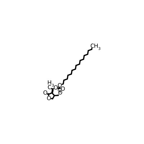 CCCCCCCCCCCCCCCCOP1(=O)OCC2COC(=O)C2=C(C)O1